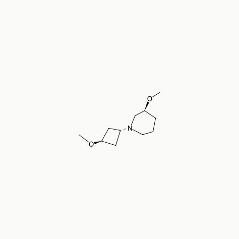 CO[C@H]1CCCN([C@H]2C[C@H](OC)C2)C1